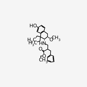 CCOC(=O)C(CN[C@H]1[C@H](OC)Cc2ccc(O)cc2C1(CC)CC)Cc1ccccc1